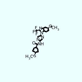 COc1ccc2c(c1)nc(C(F)(F)F)n2-c1cnc(NC(=O)c2ccc(SC)cc2)cn1